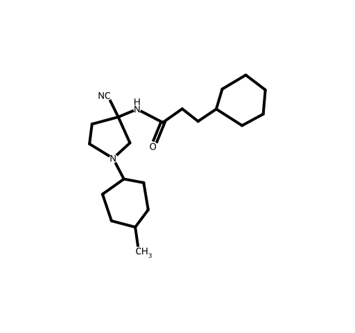 CC1CCC(N2CCC(C#N)(NC(=O)CCC3CCCCC3)C2)CC1